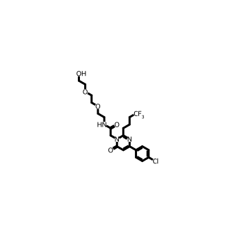 O=C(Cn1c(CCCC(F)(F)F)nc(-c2ccc(Cl)cc2)cc1=O)NCCOCCOCCO